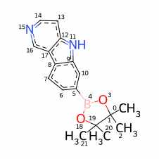 CC1(C)OB(c2ccc3c(c2)[nH]c2ccncc23)OC1(C)C